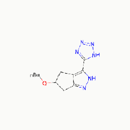 CCCCOC1Cc2n[nH]c(-c3nnn[nH]3)c2C1